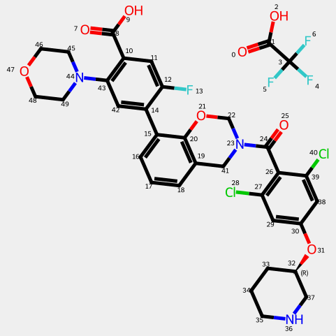 O=C(O)C(F)(F)F.O=C(O)c1cc(F)c(-c2cccc3c2OCN(C(=O)c2c(Cl)cc(O[C@@H]4CCCNC4)cc2Cl)C3)cc1N1CCOCC1